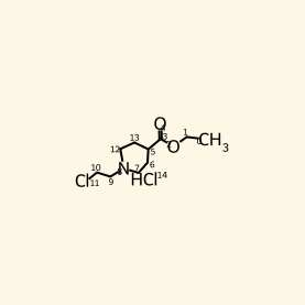 CCOC(=O)C1CCN(CCCl)CC1.Cl